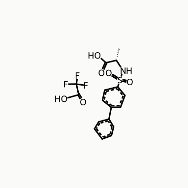 C[C@H](NS(=O)(=O)c1ccc(-c2ccccc2)cc1)C(=O)O.O=C(O)C(F)(F)F